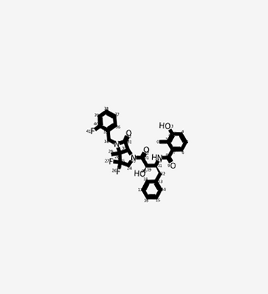 Cc1c(O)cccc1C(=O)N[C@@H](Cc1ccccc1)[C@H](O)C(=O)N1CC(F)(F)C2(C)C1C(=O)N2Cc1ccccc1F